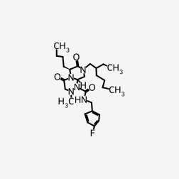 CCCCC(CC)CN1C[C@H]2N(C(=O)CN(C)N2C(=O)NCc2ccc(F)cc2)[C@@H](CCCC)C1=O